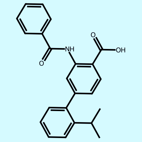 CC(C)c1ccccc1-c1ccc(C(=O)O)c(NC(=O)c2ccccc2)c1